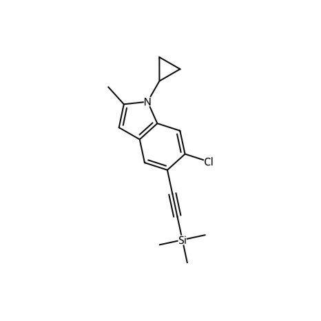 Cc1cc2cc(C#C[Si](C)(C)C)c(Cl)cc2n1C1CC1